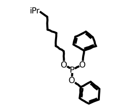 CC(C)CCCCCOP(Oc1ccccc1)Oc1ccccc1